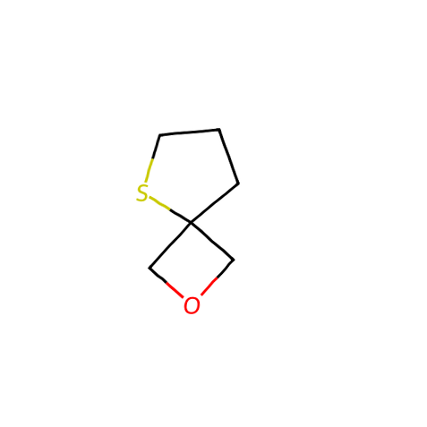 C1CSC2(C1)COC2